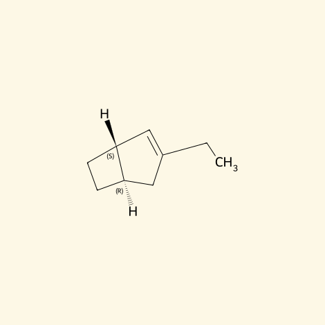 CCC1=C[C@H]2CC[C@@H]2C1